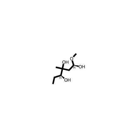 CC[C@H](O)C(C)(O)C[C@H](O)OC